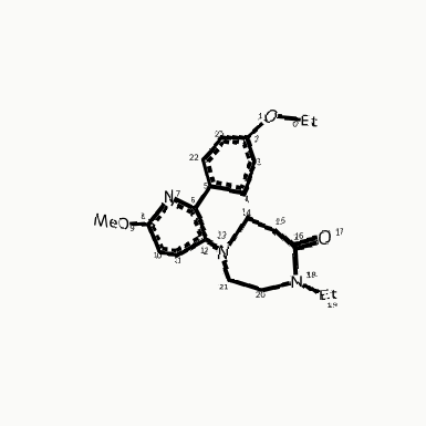 CCOc1ccc(-c2nc(OC)ccc2N2CCC(=O)N(CC)CC2)cc1